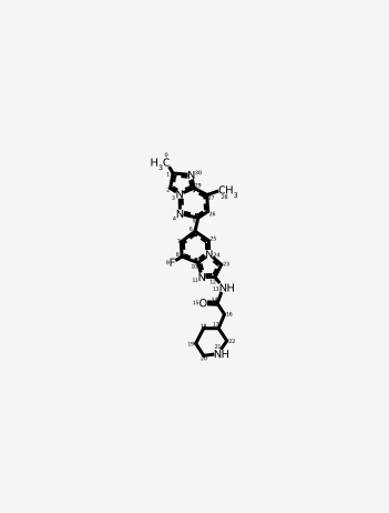 Cc1cn2nc(-c3cc(F)c4nc(NC(=O)CC5CCCNC5)cn4c3)cc(C)c2n1